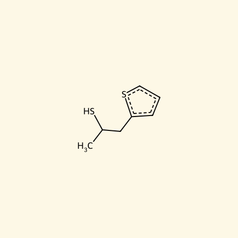 CC(S)Cc1cccs1